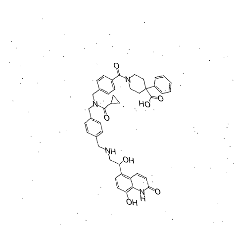 O=C(c1ccc(CN(Cc2ccc(CNCC(O)c3ccc(O)c4[nH]c(=O)ccc34)cc2)C(=O)C2CC2)cc1)N1CCC(C(=O)O)(c2ccccc2)CC1